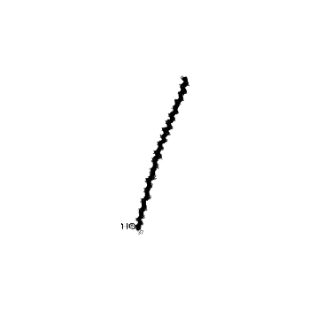 CCCCCCCCCCCCCCCCCCCCCCCCCCCCCCCCCCCCC(C)O